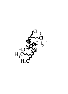 CCCCCCC(CCCC)Cc1cnc(-c2c3cc(C)sc3c(-c3ncc(CC(CCCC)CCCCCC)s3)c3cc(C)sc23)s1